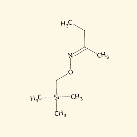 CCC(C)=NOC[Si](C)(C)C